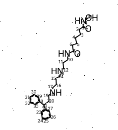 O=C(CCCCCC(=O)NCCCNCCCCNCCC(c1ccccc1)c1ccccc1)NO